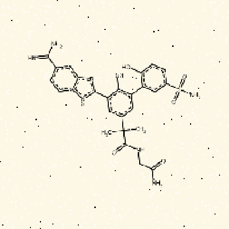 CC(C)(C(=O)NCC(N)=O)c1cc(-c2nc3cc(C(=N)N)ccc3[nH]2)c(O)c(-c2cc(S(N)(=O)=O)ccc2O)c1